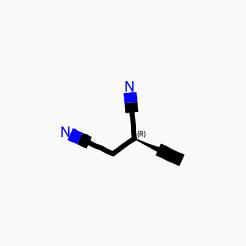 C#C[C@H](C#N)CC#N